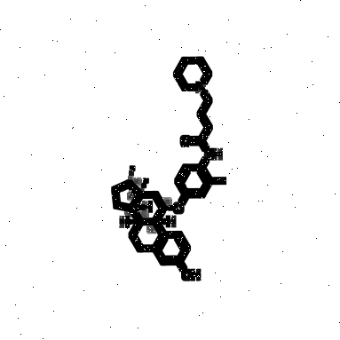 Cc1cc(O[C@H]2C[C@]3(C)[C@@H](C)CC[C@H]3[C@@H]3CCc4cc(O)ccc4[C@H]32)ccc1NC(=O)CCCN1CCCCC1